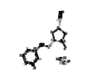 CN1C[C@@H](C#N)C[C@H]1COc1cccnc1.Cl.Cl